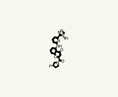 CC(C)n1cnnc1-c1cccc(Nc2cccc3oc(C(=O)N4CC[C@@H](F)C4)cc(=O)c23)n1